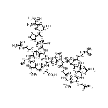 CC[C@H](C)[C@H](NC(=O)[C@H](CC(N)=O)NC(=O)[C@H](CCC(N)=O)NC(=O)[C@H](CC(C)C)NC(=O)CNC(=O)[C@@H](NC(=O)[C@H](CC(C)C)NC(=O)CNC(=O)[C@H](CCC(=O)O)NC(=O)[C@H](CC(C)C)NC(=O)[C@H](CO)NC(=O)[C@H](CCCNC(=N)N)NC(=O)[C@H](CC(C)C)NC(=O)[C@@H](NC(=O)[C@@H]1CCCN1C(=O)[C@H](CC(=O)O)NC(=O)[C@@H](N)[C@@H](C)O)C(C)C)C(C)C)C(=O)N[C@@H](CCCNC(=N)N)C(=O)O